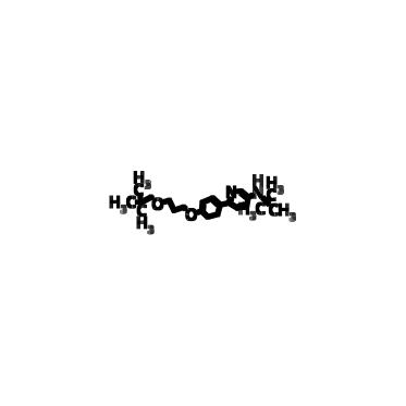 CC(C)(C)COCCCOC1=CC=C(c2ccc(NC(C)(C)C)cn2)CC1